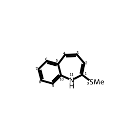 CSC1=CC=Cc2ccccc2N1